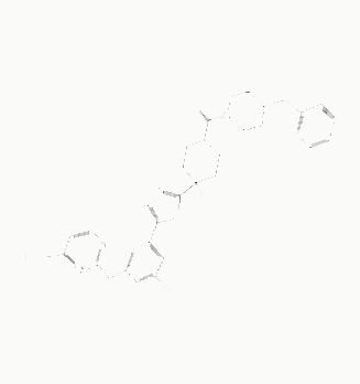 Cc1cc(Nc2nccc(C(F)(F)F)n2)cc(-c2cnc(C3(O)CCC(C(=O)N4CCC(Cc5ccccc5)CC4)CC3)s2)c1